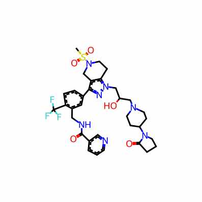 CS(=O)(=O)N1CCc2c(c(-c3ccc(C(F)(F)F)c(CNC(=O)c4cccnc4)c3)nn2CC(O)CN2CCC(N3CCCC3=O)CC2)C1